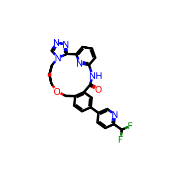 O=C1Nc2cccc(n2)-c2nncn2C2CC(C2)OCc2ccc(-c3ccc(C(F)F)nc3)cc21